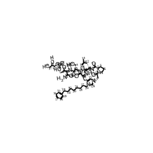 CC(=O)N1CCC[C@H]1C(=O)N[C@@H](CC(C)C)C(=O)N[C@@H](Cc1cncn1CCCCCCCCc1ccccc1)C(=O)N[C@@H](CO)C(=O)N[C@H](C(N)=O)[C@@H](C)OP(=O)(O)OC[C@@H](O)CO